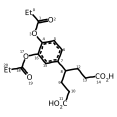 CCC(=O)Oc1ccc(C(CCC(=O)O)CCC(=O)O)cc1OC(=O)CC